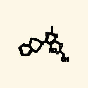 Cc1nc(OCCO)c([N+](=O)[O-])c(N2CCc3ccccc3CC2)n1